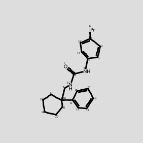 CC(C)c1ccc(NC(=O)NCC2(c3ccccc3)CCCCC2)cc1